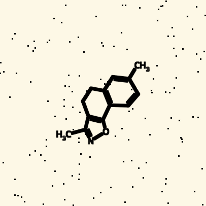 Cc1ccc2c(c1)CCc1c(C)noc1-2